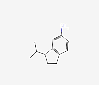 CC(C)C1CCc2ccc(N)cc21